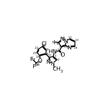 Cn1cc(NC(=O)c2c(I)nn3cccnc23)c(-c2cc(Cl)ccc2OC(F)F)n1